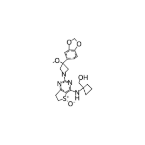 COC1(c2ccc3c(c2)OCO3)CN(c2nc3c(c(NC4(CO)CCC4)n2)[S@+]([O-])CC3)C1